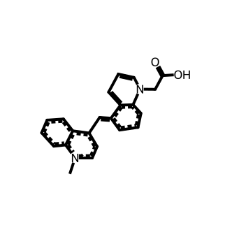 C[n+]1ccc(/C=c2\cccc3c2=CC=CN3CC(=O)O)c2ccccc21